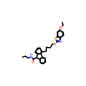 CCCNC(=O)C1c2ccccc2-c2c(CCCCSc3nc4ccc(OCC)cc4s3)cccc21